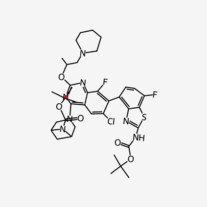 CC(CN1CCCCC1)Oc1nc(N2CC3CC(C2)N3C(=O)OC(C)(C)C)c2cc(Cl)c(-c3ccc(F)c4sc(NC(=O)OC(C)(C)C)nc34)c(F)c2n1